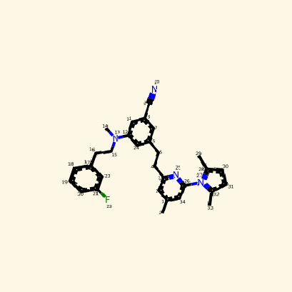 Cc1cc(CCc2cc(C#N)cc(N(C)CCc3cccc(F)c3)c2)nc(-n2c(C)ccc2C)c1